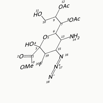 COC(=O)C1(O)OC(C(OC(C)=O)C(CO)OC(C)=O)C(N)C(N=[N+]=[N-])C1F